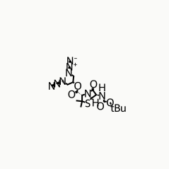 CC(C)(C)OC(=O)N[C@@H]1C(=O)N2[C@@H]1SC(C)(C)[C@@H]2C(=O)OC(CN=[N+]=[N-])CN=[N+]=[N-]